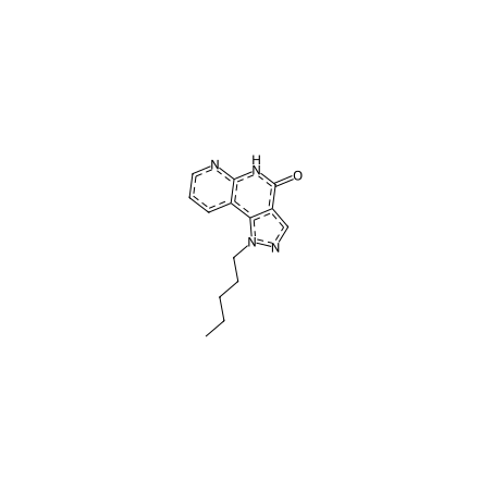 CCCCCn1ncc2c(=O)[nH]c3ncccc3c21